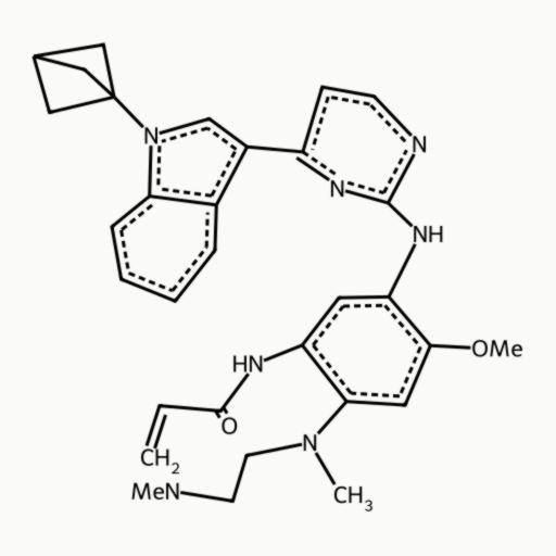 C=CC(=O)Nc1cc(Nc2nccc(-c3cn(C45CC(C4)C5)c4ccccc34)n2)c(OC)cc1N(C)CCNC